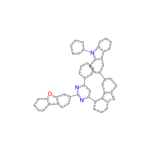 c1ccc(-c2cc(-c3cccc4sc5ccc(-c6ccc7c(c6)c6ccccc6n7-c6ccccc6)cc5c34)nc(-c3ccc4c(c3)oc3ccccc34)n2)cc1